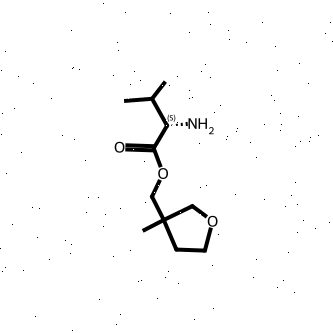 CC(C)[C@H](N)C(=O)OCC1(C)CCOC1